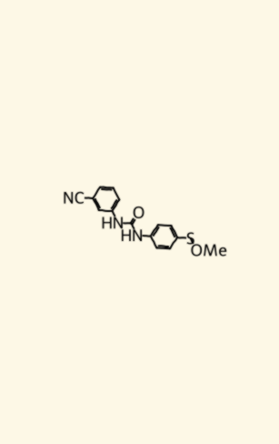 COSc1ccc(NC(=O)Nc2cccc(C#N)c2)cc1